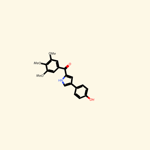 COc1cc(C(=O)c2cc(-c3ccc(O)cc3)c[nH]2)cc(OC)c1OC